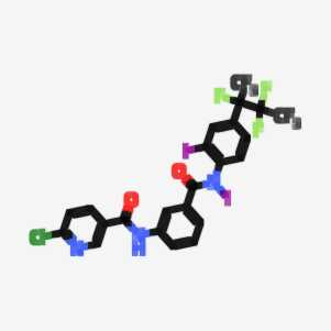 O=C(Nc1cccc(C(=O)N(I)c2ccc(C(F)(C(F)(F)F)C(F)(F)C(F)(F)F)cc2I)c1)c1ccc(Cl)nc1